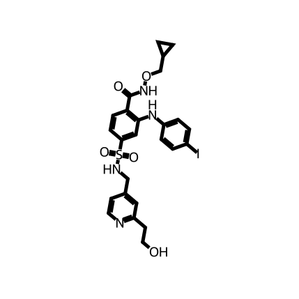 O=C(NOCC1CC1)c1ccc(S(=O)(=O)NCc2ccnc(CCO)c2)cc1Nc1ccc(I)cc1